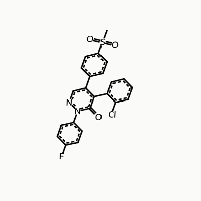 CS(=O)(=O)c1ccc(-c2cnn(-c3ccc(F)cc3)c(=O)c2-c2ccccc2Cl)cc1